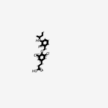 CCC(C)Nc1cccc(COc2c(Cl)cc(CCC(=O)O)cc2Cl)c1F